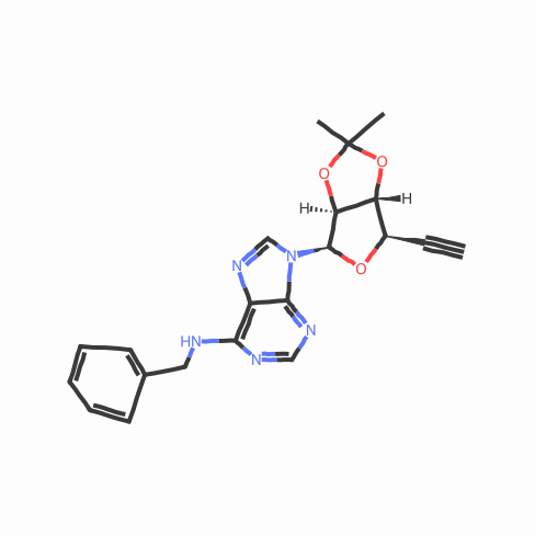 C#C[C@H]1O[C@@H](n2cnc3c(NCc4ccccc4)ncnc32)[C@H]2OC(C)(C)O[C@@H]21